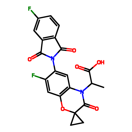 CC(C(=O)O)N1C(=O)C2(CC2)Oc2cc(F)c(N3C(=O)c4ccc(F)cc4C3=O)cc21